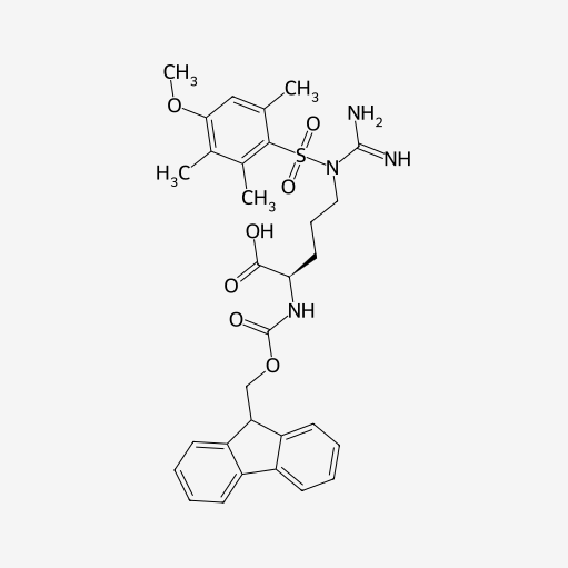 COc1cc(C)c(S(=O)(=O)N(CCC[C@@H](NC(=O)OCC2c3ccccc3-c3ccccc32)C(=O)O)C(=N)N)c(C)c1C